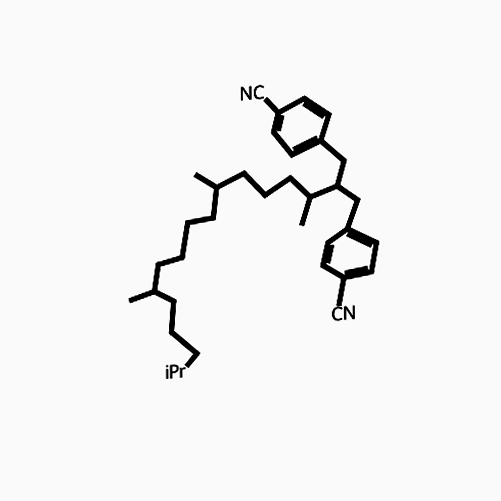 CC(C)CCCC(C)CCCCC(C)CCCC(C)C(Cc1ccc(C#N)cc1)Cc1ccc(C#N)cc1